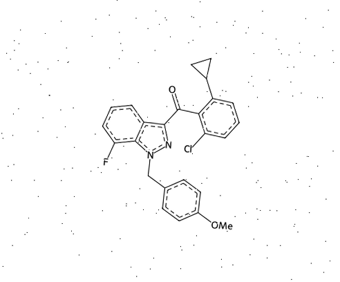 COc1ccc(Cn2nc(C(=O)c3c(Cl)cccc3C3CC3)c3cccc(F)c32)cc1